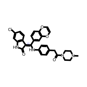 CN1CCN(C(=O)Cc2ccc(N/C(=C3\C(=O)Nc4cc(Cl)ccc43)c3ccc4c(c3)OC=CO4)cc2)CC1